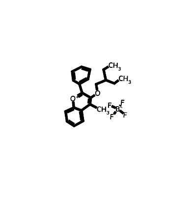 CCC(CC)COc1c(-c2ccccc2)[o+]c2ccccc2c1C.F[B-](F)(F)F